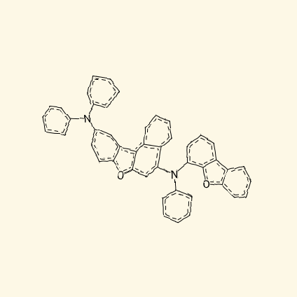 c1ccc(N(c2ccccc2)c2ccc3oc4cc(N(c5ccccc5)c5cccc6c5oc5ccccc56)c5ccccc5c4c3c2)cc1